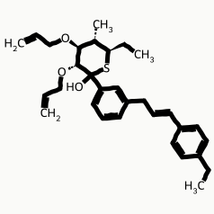 C=CCO[C@H]1[C@H](C)[C@@H](CC)SC(O)(c2cccc(CC=Cc3ccc(CC)cc3)c2)[C@@H]1OCC=C